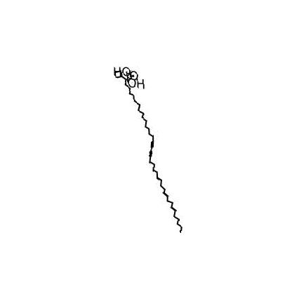 CCCCCCCCCCCCCCCCCCCC#CC#CCCCCCCCCCCCCCCC(C1CCC1)P(=O)(O)O